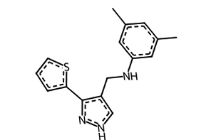 Cc1cc(C)cc(NCc2c[nH]nc2-c2cccs2)c1